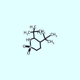 CC(C)(C)C1CCS(=O)(=O)NC1C(C)(C)C